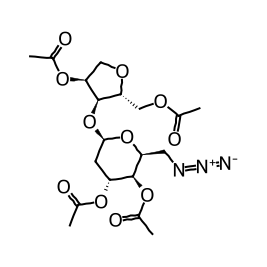 CC(=O)OC[C@H]1OC[C@H](OC(C)=O)[C@@H]1O[C@@H]1C[C@@H](OC(C)=O)[C@H](OC(C)=O)[C@H](CN=[N+]=[N-])O1